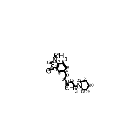 CN(CCc1ccc2c(c1)[S+]([O-])CN2C)CCN1CCCCC1